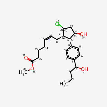 CCCC(O)c1ccc([C@@H]2[C@@H](C/C=C\CCCC(=O)OC)[C@@H](Cl)C[C@H]2O)cc1